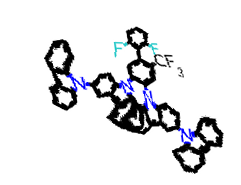 Fc1cccc(F)c1-c1cc(-n2c3ccccc3c3cc(-n4c5ccccc5c5ccccc54)ccc32)c(-n2c3ccccc3c3cc(-n4c5ccccc5c5ccccc54)ccc32)cc1C(F)(F)F